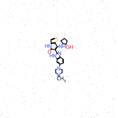 CN1CCN(c2ccc3nc(-c4c(N[C@H]5CCC[C@@H]5O)c5sccc5[nH]c4=O)[nH]c3c2)CC1